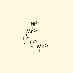 [Li+].[Mn+2].[Mn+2].[Ni+2].[O-2]